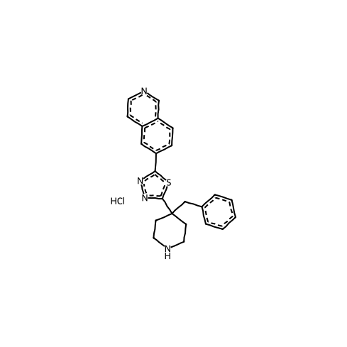 Cl.c1ccc(CC2(c3nnc(-c4ccc5cnccc5c4)s3)CCNCC2)cc1